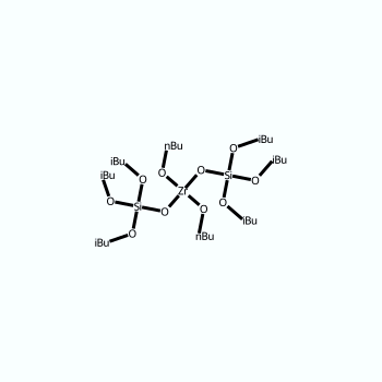 CCCC[O][Zr]([O]CCCC)([O][Si](OC(C)CC)(OC(C)CC)OC(C)CC)[O][Si](OC(C)CC)(OC(C)CC)OC(C)CC